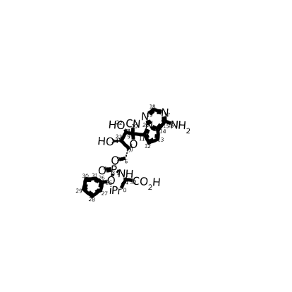 CC(C)C(NP(=O)(OC[C@H]1OC(C#N)(c2ccc3c(N)ncnn23)[C@H](O)[C@@H]1O)Oc1ccccc1)C(=O)O